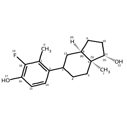 Cc1c(C2CC[C@@]3(C)[C@H](CC[C@@H]3O)C2)ccc(O)c1F